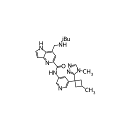 CC[C@H](C)NCc1cc(C(=O)Nc2cncc(C3(c4nncn4C)CC(C)C3)c2)nc2cc[nH]c12